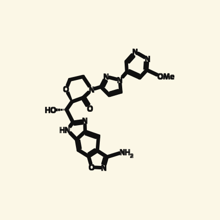 COc1cc(-n2ccc(N3CCO[C@H]([C@@H](O)c4nc5cc6c(N)noc6cc5[nH]4)C3=O)n2)cnn1